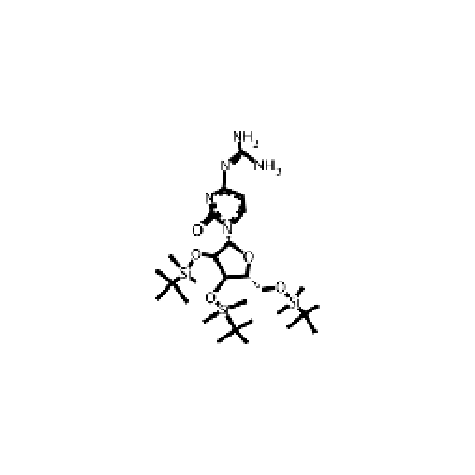 CC(C)(C)[Si](C)(C)OC[C@H]1O[C@@H](n2ccc(N=C(N)N)nc2=O)C(O[Si](C)(C)C(C)(C)C)C1O[Si](C)(C)C(C)(C)C